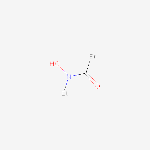 C[CH]C(=O)N(O)CC